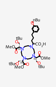 CCCCOc1cccc(CCC[C@@H](C(=O)O)N2CCN([C@@H](COC(C)(C)C)C(=O)OC)CCN([C@@H](COC(C)(C)C)C(=O)OC)CCN([C@@H](COC(C)(C)C)C(=O)OC)CC2)c1